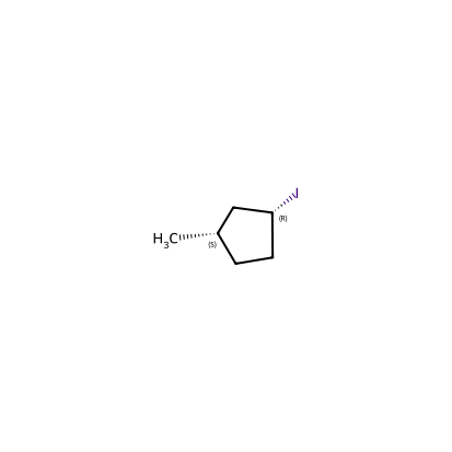 C[C@H]1CC[C@@H](I)C1